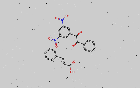 O=C(C(=O)c1cc([N+](=O)[O-])cc([N+](=O)[O-])c1)c1ccccc1.O=C(O)C=Cc1ccccc1